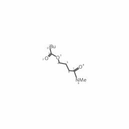 CCC(C)C(=O)OCCCC(=O)NC